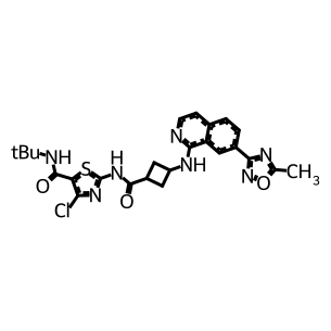 Cc1nc(-c2ccc3ccnc(NC4CC(C(=O)Nc5nc(Cl)c(C(=O)NC(C)(C)C)s5)C4)c3c2)no1